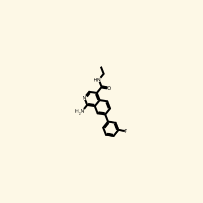 CCNC(=O)c1cnc(N)c2cc(-c3cccc(F)c3)ccc12